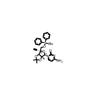 C#C[C@]1(CO[Si](c2ccccc2)(c2ccccc2)C(C)(C)C)O[C@@H](n2ccc(N)nc2=O)[C@]2(C)OC(C)(C)OC12